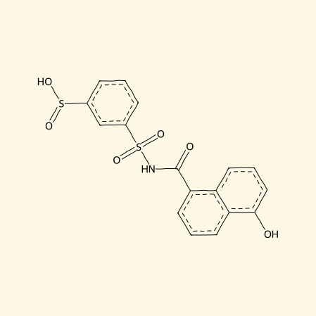 O=C(NS(=O)(=O)c1cccc(S(=O)O)c1)c1cccc2c(O)cccc12